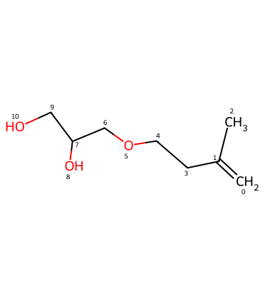 C=C(C)CCOCC(O)CO